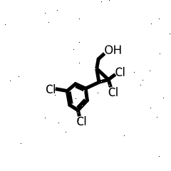 OCC1C(c2cc(Cl)cc(Cl)c2)C1(Cl)Cl